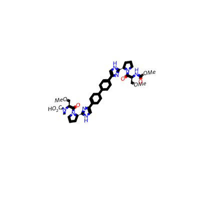 COC[C@H](NC(=O)OC)C(=O)N1CCC[C@H]1c1nc(C2=CCC(C3CC=C(c4c[nH]c([C@@H]5CCCN5C(=O)[C@H](COC)N(C)C(=O)O)n4)CC3)CC2)c[nH]1